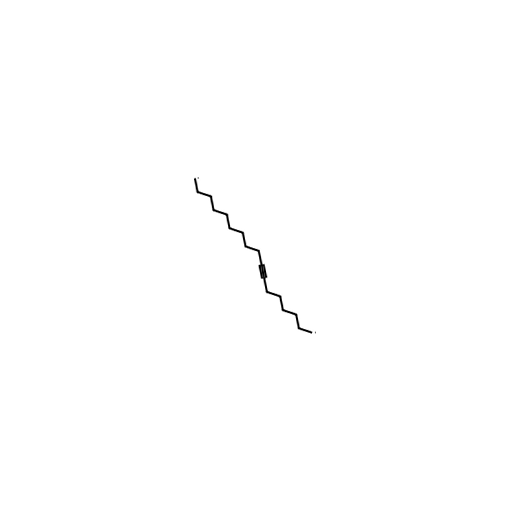 [CH2]CCCCCC#CCCCCCCCC[CH2]